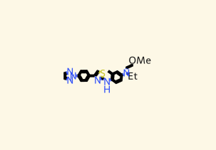 CCN(CCOC)c1ccc(Nc2nc(-c3ccc(-n4nccn4)cc3)cs2)c(C)c1